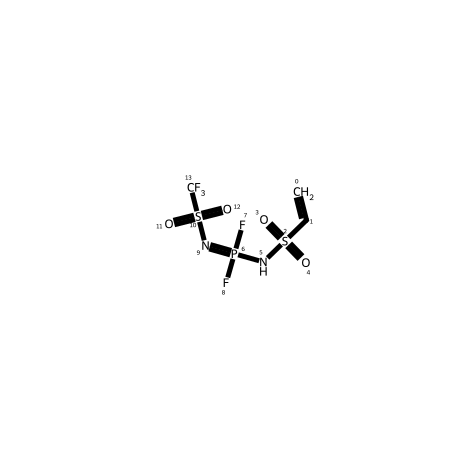 C=CS(=O)(=O)NP(F)(F)=NS(=O)(=O)C(F)(F)F